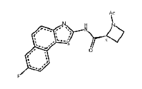 CC(=O)N1CC[C@H]1C(=O)Nc1nc2ccc3cc(F)ccc3c2s1